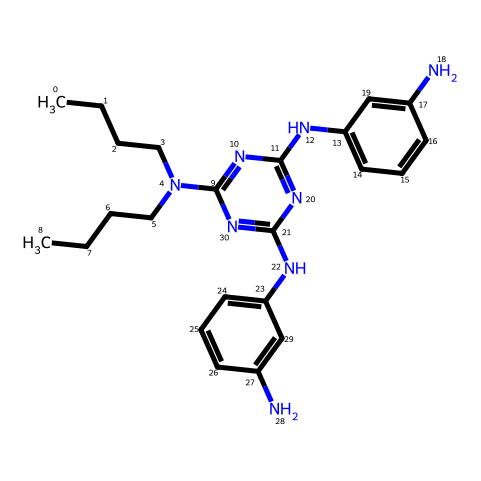 CCCCN(CCCC)c1nc(Nc2cccc(N)c2)nc(Nc2cccc(N)c2)n1